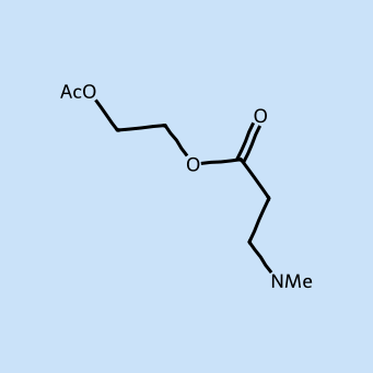 CNCCC(=O)OCCOC(C)=O